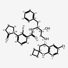 CCc1cnc2c(c1)[C@@H](NC[C@@H](O)[C@H](Cc1ccccc1)NC(=O)c1cccc(N3CCCC3=O)c1F)CC1(CCC1)O2